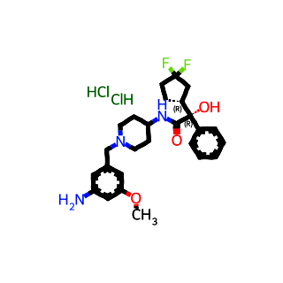 COc1cc(N)cc(CN2CCC(NC(=O)[C@](O)(c3ccccc3)[C@@H]3CCC(F)(F)C3)CC2)c1.Cl.Cl